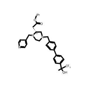 CC(C)OC(=O)C[C@@H]1CN(Cc2ccc(-c3ccc(C(C)(O)C(F)(F)F)cc3)cc2)CCN1Cc1ccncc1